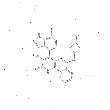 N#CC1CC(Oc2cc3c(-c4ccc(F)c5[nH]ncc45)c(N)c(=O)[nH]c3c3cccnc23)C1